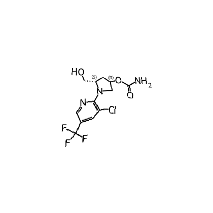 NC(=O)O[C@@H]1C[C@@H](CO)N(c2ncc(C(F)(F)F)cc2Cl)C1